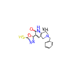 O=c1[nH]c2c(cc1-c1nnc(S)o1)CN(Cc1ccccc1)CC2.[KH]